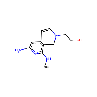 CC(C)(C)Nc1nc(N)cc2c1CN(CCO)C=C2